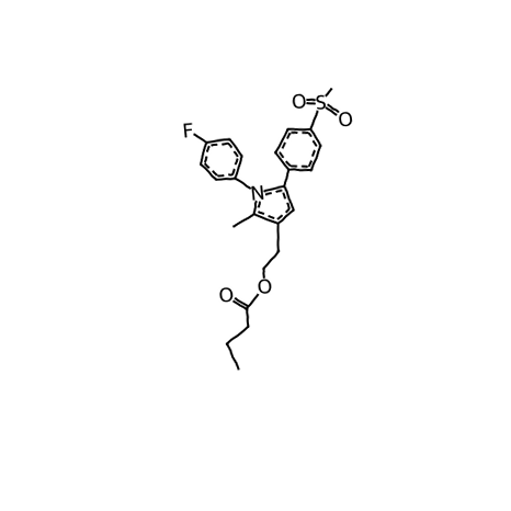 CCCC(=O)OCCc1cc(-c2ccc(S(C)(=O)=O)cc2)n(-c2ccc(F)cc2)c1C